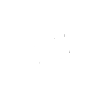 CCCC(CC)N1C=NC=NC1